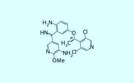 COc1ncc(C(=N)c2cc(O[C@H](C)c3c(Cl)cncc3Cl)ccc2N)cc1N